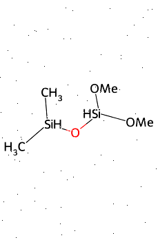 CO[SiH](OC)O[SiH](C)C